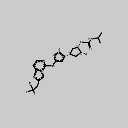 CC(C)NC(=O)O[C@H]1C[C@@H](c2cc(Nc3nccc4nc(CC(F)(F)F)cn34)n[nH]2)C[C@H]1F